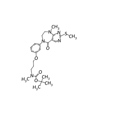 CSc1ncc2c(n1)N(C)CCN(c1cccc(OCCCN(C)C(=O)OC(C)(C)C)c1)C2=O